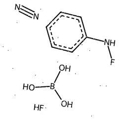 F.FNc1ccccc1.N#N.OB(O)O